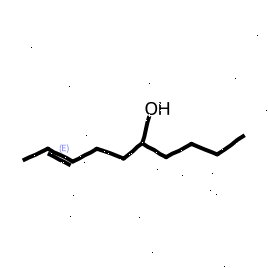 C/C=C/CCC(O)CCCC